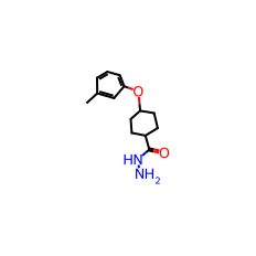 Cc1cccc(OC2CCC(C(=O)NN)CC2)c1